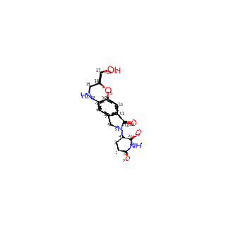 O=C1CCC(N2Cc3cc4c(cc3C2=O)OC(CO)CN4)C(=O)N1